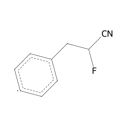 N#CC(F)Cc1cc[c]cc1